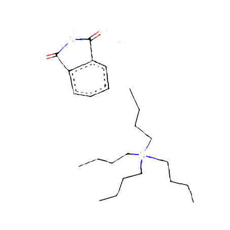 CCCC[N+](CCCC)(CCCC)CCCC.O=C1NC(=O)c2ccccc21.[OH-]